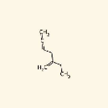 C=C=CCC(=C)CC